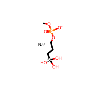 COP(=O)([O-])OCCC[Si](O)(O)O.[Na+]